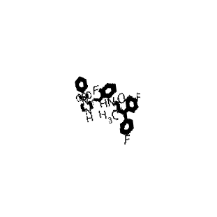 C[C@H](C(=O)Nc1cccc(F)c1CC[C@@H]1CNCCN1S(=O)(=O)c1ccccc1)C(c1ccc(F)cc1)c1ccc(F)cc1